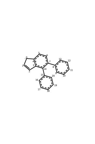 [CH]1C=Cc2c1ccc(-c1ccccc1)c2-c1ccccc1